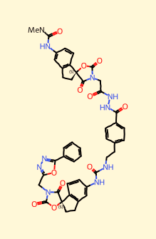 CNC(=O)Nc1ccc2c(c1)CC[C@]21OC(=O)N(CC(=O)NNC(=O)c2ccc(CCNC(=O)Nc3ccc4c(c3)CC[C@]43OC(=O)N(Cc4nnc(-c5ccccc5)o4)C3=O)cc2)C1=O